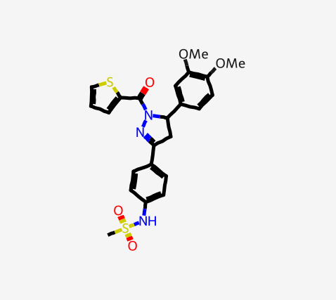 COc1ccc(C2CC(c3ccc(NS(C)(=O)=O)cc3)=NN2C(=O)c2cccs2)cc1OC